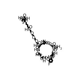 NC(=O)[C@@H]1CCCCn2cc(nn2)C[C@H](NC(=O)COCCOCCOCCNC(=O)CCCC[C@H]2SC[C@H]3NC(=O)N[C@H]32)C(=O)NCC(=O)NCC(=O)NCC(=O)N[C@@H](Cc2ccc(F)cc2)C(=O)NCC(=O)N1